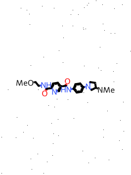 CNC1CCN(c2ccc(NC(=O)c3ccc(C(=O)NCCOC)nc3)cc2)C1